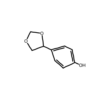 Oc1ccc(C2COCO2)cc1